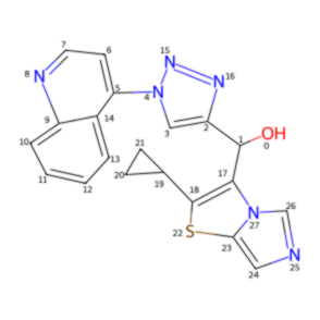 OC(c1cn(-c2ccnc3ccccc23)nn1)c1c(C2CC2)sc2cncn12